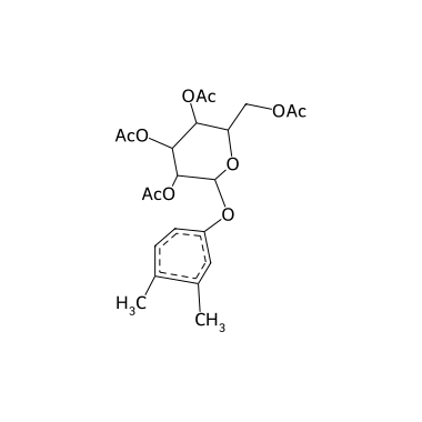 CC(=O)OCC1OC(Oc2ccc(C)c(C)c2)C(OC(C)=O)C(OC(C)=O)C1OC(C)=O